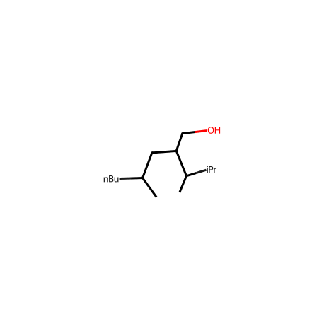 CCCCC(C)CC(CO)C(C)C(C)C